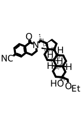 CCOC[C@@]1(O)CC[C@H]2[C@H](CC[C@@H]3[C@@H]2CC[C@]2(C)[C@@H]([C@@H](C)N4CCc5cc(C#N)ccc5C4=O)CC[C@@H]32)C1